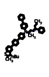 C=CC/C(=C\C=C(/C)N(c1c#cc(-c2ccccc2)cc1)c1ccc(-c2ccc(-c3ccc4c(c3)C(CCCC)C(C)S4)cc2)cc1)c1ccccc1